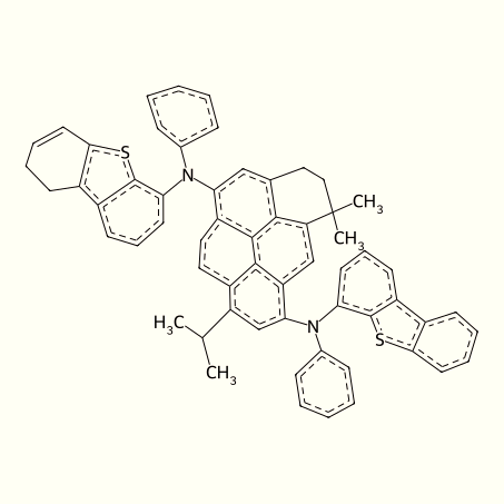 CC(C)c1cc(N(c2ccccc2)c2cccc3c2sc2ccccc23)c2cc3c4c(cc(N(c5ccccc5)c5cccc6c7c(sc56)C=CCC7)c5ccc1c2c54)CCC3(C)C